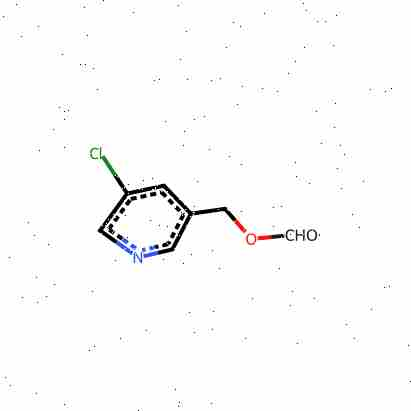 O=[C]OCc1cncc(Cl)c1